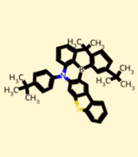 CC(C)(C)c1ccc(N2c3cc4sc5ccccc5c4cc3B3c4cc(C(C)(C)C)ccc4C(C)(C)c4cccc2c43)cc1